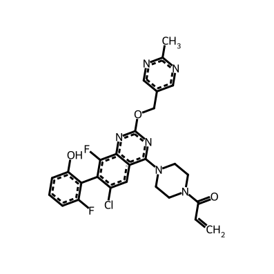 C=CC(=O)N1CCN(c2nc(OCc3cnc(C)nc3)nc3c(F)c(-c4c(O)cccc4F)c(Cl)cc23)CC1